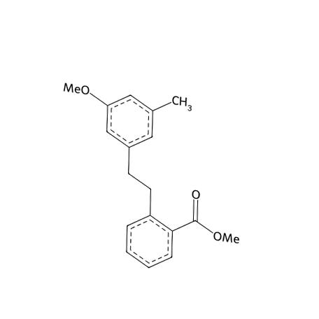 COC(=O)c1ccccc1CCc1cc(C)cc(OC)c1